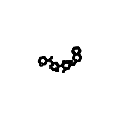 CN(C[C@H](O)CN1CCc2ccccc2C1)C(=O)c1cc(N(C)C2CCCOC2)ncn1